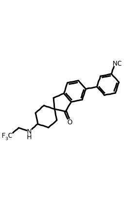 [C-]#[N+]c1cccc(-c2ccc3c(c2)C(=O)C2(CCC(NCC(F)(F)F)CC2)C3)c1